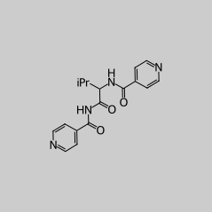 CC(C)C(NC(=O)c1ccncc1)C(=O)NC(=O)c1ccncc1